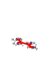 CC(C)C(CCC1CCC(C(=O)OCCCCCCCCCCCCOC(=O)C2CCC(CCC(SCCN(C)C)C(C)C)C(SCCN(C)C)C2)CC1SCCN(C)C)SCCN(C)C